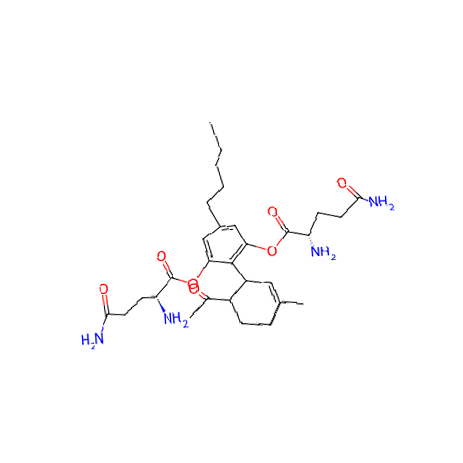 CCCCCc1cc(OC(=O)[C@@H](N)CCC(N)=O)c(C2C=C(C)CCC2C(C)=O)c(OC(=O)[C@@H](N)CCC(N)=O)c1